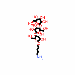 NCCCCCO[C@@H]1OC(CO)[C@@H](O[C@@H]2OC(CO)[C@H](O[C@H]3OC(CO)[C@H](O)[C@H](O)C3O)[C@H](O)C2O)[C@H](O)C1O